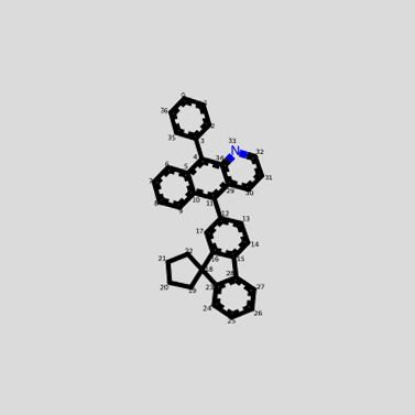 c1ccc(-c2c3ccccc3c(-c3ccc4c(c3)C3(CCCC3)c3ccccc3-4)c3cccnc23)cc1